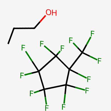 CCCO.FC(F)(F)C1(F)C(F)(F)C(F)(F)C(F)(F)C1(F)F